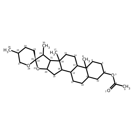 CC(=O)OC1CCC2(C)C(CCC3C2CCC2(C)C3CC3O[C@@]4(CCC(C)CO4)C(C)C32)C1